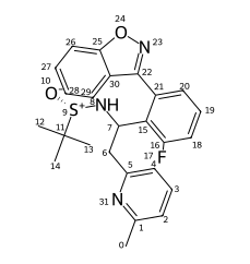 Cc1cccc(CC(N[S@@+]([O-])C(C)(C)C)c2c(F)cccc2-c2noc3ccccc23)n1